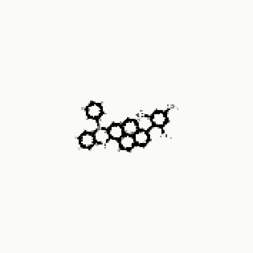 Cc1cc(C)c(-c2ccc3ccc4c5c(cc6ccc2c3c64)B(c2ccccc2)c2ccccc2O5)c(C)c1